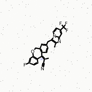 C/C(C#N)=C1\c2ccc(Cc3c(C)nc4cc(C(F)(F)F)ccn34)cc2COc2cc(F)ccc21